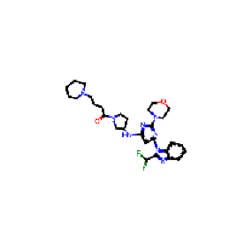 O=C(CCCN1CCCCC1)N1CC[C@H](Nc2cc(-n3c(C(F)F)nc4ccccc43)nc(N3CCOCC3)n2)C1